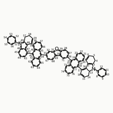 C1=CC2=C(CC1)N(c1ccccc1)C1CC=CC(c3c4ccccc4c(-c4ccc5oc6cc(-c7c8ccccc8c(-c8cccc9c8c8c(n9-c9ccccc9)CCC=C8)c8ccccc78)ccc6c5c4)c4ccccc34)=C21